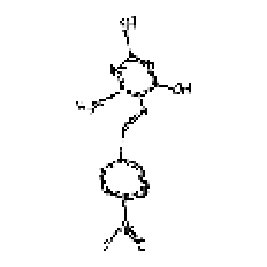 Nc1nc(S)nc(O)c1N=Cc1ccc([N+](=O)[O-])cc1